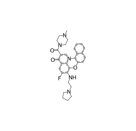 CN1CCN(C(=O)c2cn3c4c(c(NCCN5CCCC5)c(F)cc4c2=O)Oc2ccc4ccccc4c2-3)CC1